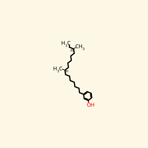 CC[C@@H](C)CCCCC[C@H](C)CCCCCCCc1cccc(O)c1